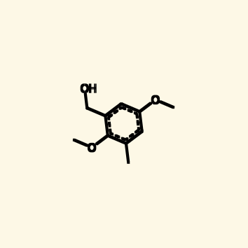 COc1cc(C)c(OC)c(CO)c1